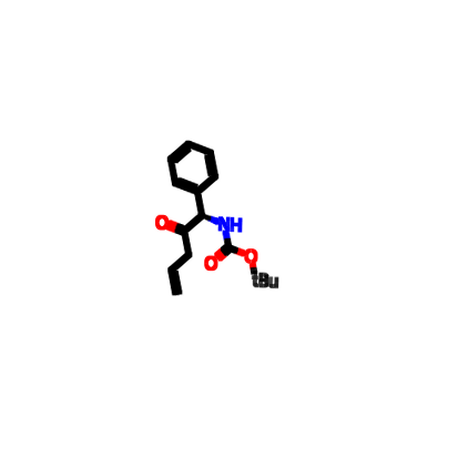 C=CCC(=O)[C@H](NC(=O)OC(C)(C)C)c1ccccc1